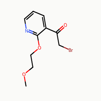 COCCOc1ncccc1C(=O)CBr